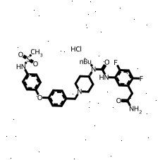 CCCCN(C(=O)Nc1cc(CC(N)=O)c(F)cc1F)C1CCN(Cc2ccc(Oc3ccc(NS(C)(=O)=O)cc3)cc2)CC1.Cl